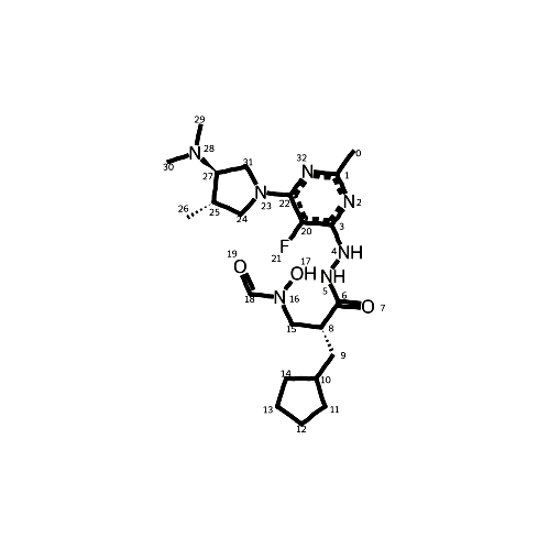 Cc1nc(NNC(=O)[C@H](CC2CCCC2)CN(O)C=O)c(F)c(N2C[C@H](C)[C@@H](N(C)C)C2)n1